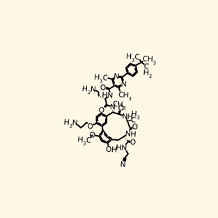 COc1cc(O)c2cc1-c1cc(ccc1OCCN)[C@H](N(C)C(=O)[C@H](CCN)NC(=O)c1c(C)nc(-c3ccc(C(C)(C)C)cc3)nc1C)C(=O)N[C@@H](C)C(=O)N[C@H](C(=O)NCC#N)C2